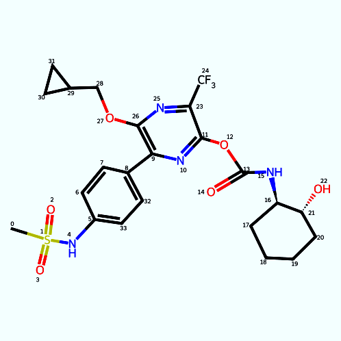 CS(=O)(=O)Nc1ccc(-c2nc(OC(=O)N[C@@H]3CCCC[C@H]3O)c(C(F)(F)F)nc2OCC2CC2)cc1